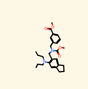 CCCN(CCC)c1cc2c(cc1CN(Cc1cccc(C(=O)OC)c1)C(=O)OC)CCC2